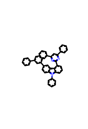 c1ccc(-c2cccc(-c3ccc4c(c3)c3c(-c5nc(-c6ccccc6)cc(-c6ccccc6)n5)cccc3n4-c3ccccc3)c2)cc1